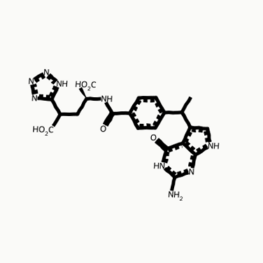 CC(c1ccc(C(=O)N[C@@H](CC(C(=O)O)c2nnn[nH]2)C(=O)O)cc1)c1c[nH]c2nc(N)[nH]c(=O)c12